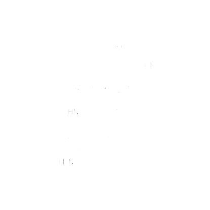 COc1cc2c(cc1Cl)Cc1c([nH]c3cc(N)ccc13)C2(C)C